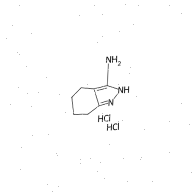 Cl.Cl.Nc1[nH]nc2c1CCCC2